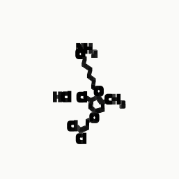 Cc1cc(OCC=C(Cl)Cl)cc(Cl)c1OCCCCCCON.Cl